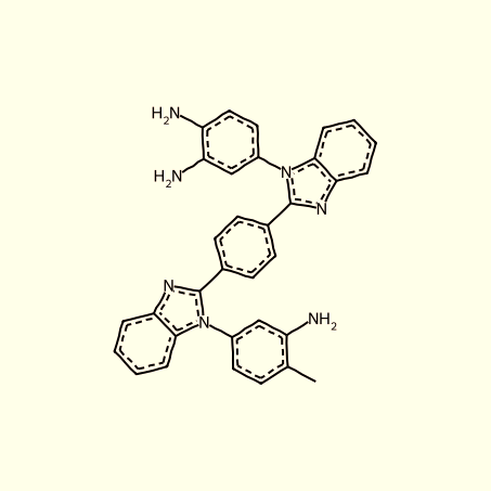 Cc1ccc(-n2c(-c3ccc(-c4nc5ccccc5n4-c4ccc(N)c(N)c4)cc3)nc3ccccc32)cc1N